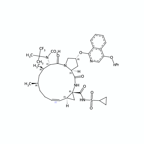 CCCOc1cnc(O[C@@H]2C[C@H]3C(=O)N[C@]4(C(=O)NS(=O)(=O)C5CC5)C[C@H]4/C=C\CC[C@@H](C)C[C@@H](C)[C@H](N(C(=O)O)C(C)(C)C(F)(F)F)C(=O)N3C2)c2ccccc12